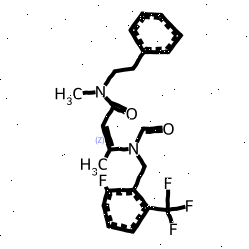 C/C(=C/C(=O)N(C)CCc1ccccc1)N(C=O)Cc1c(F)cccc1C(F)(F)F